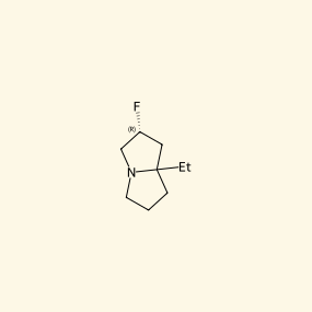 CCC12CCCN1C[C@H](F)C2